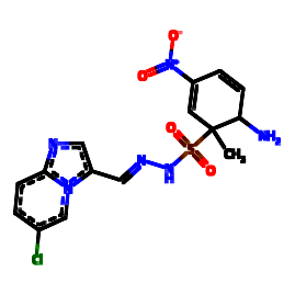 CC1(S(=O)(=O)NN=Cc2cnc3ccc(Cl)cn23)C=C([N+](=O)[O-])C=CC1N